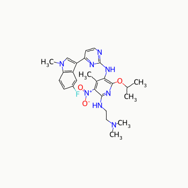 Cc1c(Nc2nccc(-c3cn(C)c4ccc(F)cc34)n2)c(OC(C)C)nc(NCCN(C)C)c1[N+](=O)[O-]